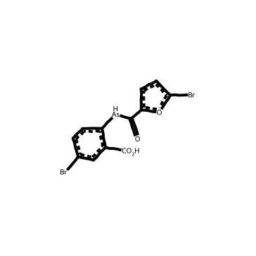 O=C([AsH]c1ccc(Br)cc1C(=O)O)c1ccc(Br)o1